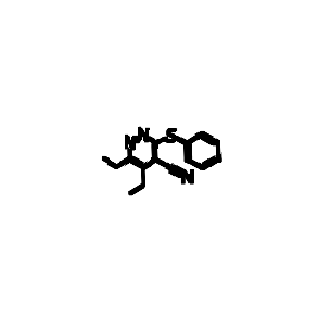 CCc1nnc(Sc2ccccc2)c(C#N)c1CC